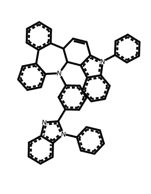 C1=CC2c3ccccc3-c3ccccc3N(c3cccc(-c4nc5ccccc5n4-c4ccccc4)c3)C2c2c1n(-c1ccccc1)c1ccccc21